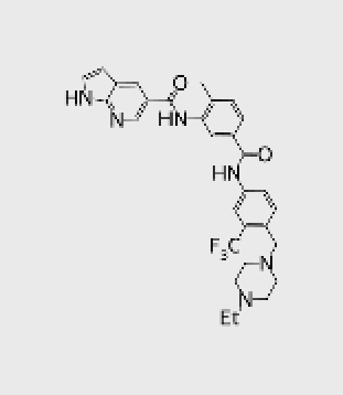 CCN1CCN(Cc2ccc(NC(=O)c3ccc(C)c(NC(=O)c4cnc5[nH]ccc5c4)c3)cc2C(F)(F)F)CC1